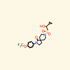 O=C1N(c2ccc(OC(F)(F)F)cc2)CCC12CCN(S(=O)(=O)CC(O)C1CC1)CC2